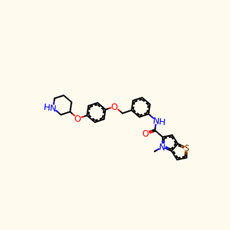 Cn1c(C(=O)Nc2cccc(COc3ccc(OC4CCCNC4)cc3)c2)cc2sccc21